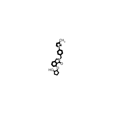 Cc1ccn(-c2ccc(CN3Cc4cccc(OC5CCCC5O)c4C3=O)cc2)n1